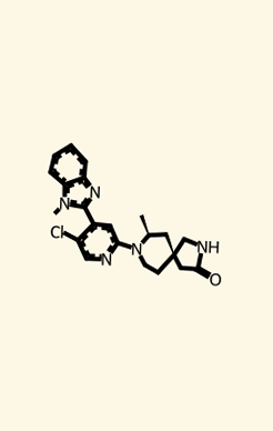 C[C@H]1C[C@@]2(CCN1c1cc(-c3nc4ccccc4n3C)c(Cl)cn1)CNC(=O)C2